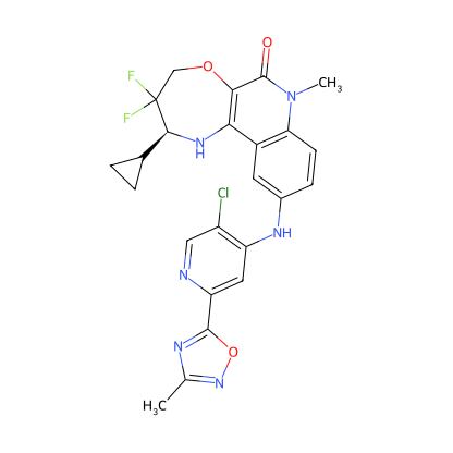 Cc1noc(-c2cc(Nc3ccc4c(c3)c3c(c(=O)n4C)OCC(F)(F)[C@H](C4CC4)N3)c(Cl)cn2)n1